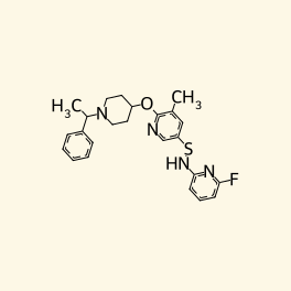 Cc1cc(SNc2cccc(F)n2)cnc1OC1CCN(C(C)c2ccccc2)CC1